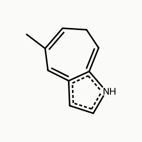 CC1=CCC=c2[nH]ccc2=C1